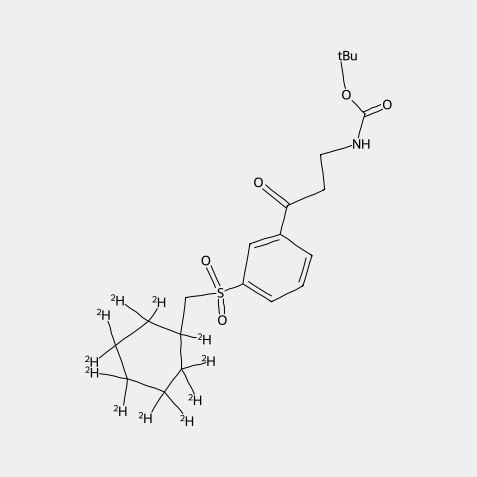 [2H]C1([2H])C([2H])([2H])C([2H])([2H])C([2H])(CS(=O)(=O)c2cccc(C(=O)CCNC(=O)OC(C)(C)C)c2)C([2H])([2H])C1([2H])[2H]